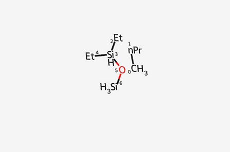 CCCC.CC[SiH](CC)O[SiH3]